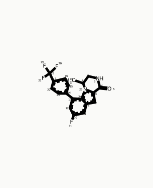 CC1CNC(=O)c2cc3cc(F)cc(-c4ccc(C(F)(F)F)cc4)c3n21